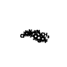 CC(C#N)=C1c2ccc(Cc3c(C4CC4)nc4ccc(Cl)cn34)cc2COc2cc(F)ccc21